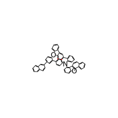 c1cc(-c2ccc(N(c3ccccc3-c3ccc4oc5ccccc5c4c3)c3cccc4oc5c6ccccc6ccc5c34)cc2)cc(-c2ccc3ccccc3c2)c1